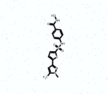 Cn1nc(-c2ccc(S(=O)(=O)Nc3ccc(C(=O)NO)cc3)s2)cc1C(F)(F)F